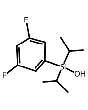 CC(C)[Si](O)(c1cc(F)cc(F)c1)C(C)C